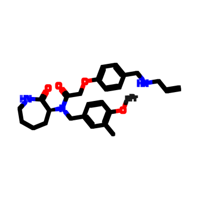 C=CCNCc1ccc(OCC(=O)N(Cc2ccc(OCCC)c(C)c2)[C@H]2CCCCNC2=O)cc1